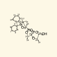 C[C@H](O[Si](c1ccccc1)(c1ccccc1)C(C)(C)C)C(=O)O[C@H](C)C(=O)O[C@H](C)C(=O)O